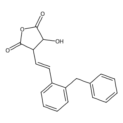 O=C1OC(=O)C(C=Cc2ccccc2Cc2ccccc2)C1O